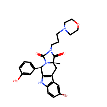 C[C@@]12Cc3c([nH]c4ccc(Br)cc34)[C@@H](c3cccc(O)c3)N1C(=O)N(CCCN1CCOCC1)C2=O